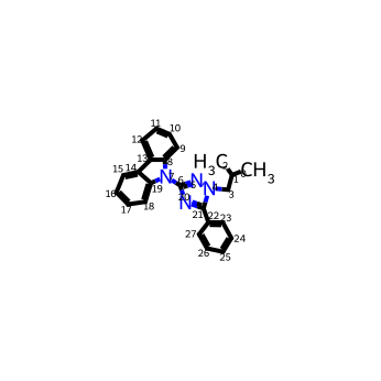 CC(C)Cn1nc(-n2c3ccccc3c3ccccc32)nc1-c1ccccc1